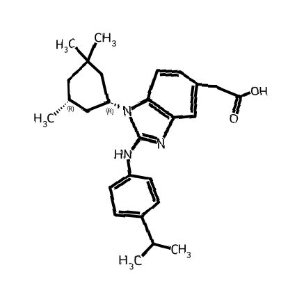 CC(C)c1ccc(Nc2nc3cc(CC(=O)O)ccc3n2[C@@H]2C[C@H](C)CC(C)(C)C2)cc1